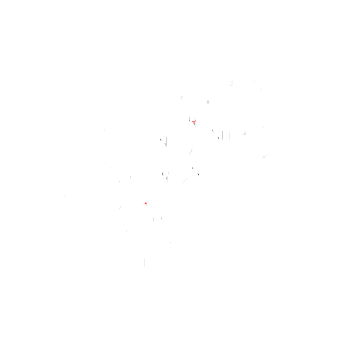 CC(OCP(=O)(O)O)C(OC(c1ccccc1)(c1ccccc1)c1ccccc1)n1cnc2c(NC(c3ccccc3)(c3ccccc3)c3ccccc3)ncnc21